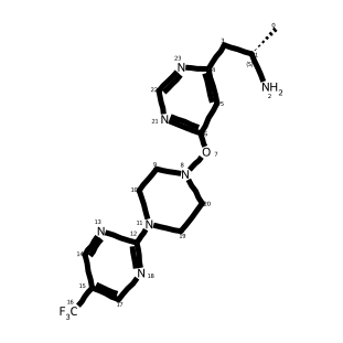 C[C@H](N)Cc1cc(ON2CCN(c3ncc(C(F)(F)F)cn3)CC2)ncn1